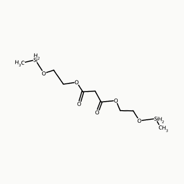 C[SiH2]OCCOC(=O)CC(=O)OCCO[SiH2]C